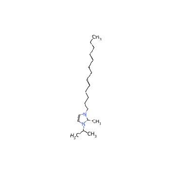 CCCCCCCCCCCCCN1C=CN(C(C)C)C1C